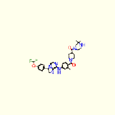 Cc1cc(Nc2nccn3c(-c4ccc(OC(F)F)cc4)cnc23)ccc1C(=O)N1CCC(C(=O)N2CCNC(C)(C)C2)CC1